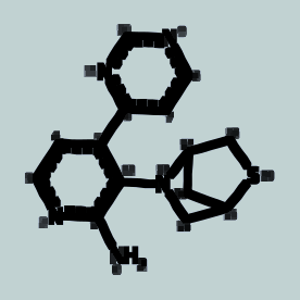 Nc1nccc(-c2ccncn2)c1N1CC2CC1CS2